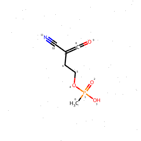 CP(=O)(O)OCCC(=C=O)C#N